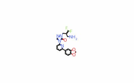 NCC(Cn1ncn(-c2cccc(-c3ccc4c(c3)OCO4)n2)c1=O)=C(F)F